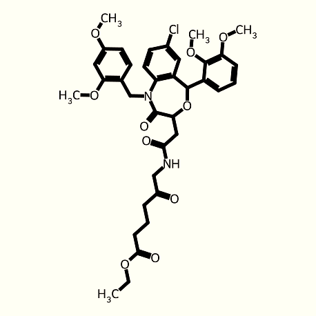 CCOC(=O)CCCC(=O)CNC(=O)CC1OC(c2cccc(OC)c2OC)c2cc(Cl)ccc2N(Cc2ccc(OC)cc2OC)C1=O